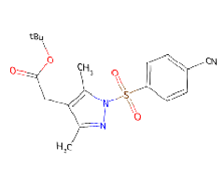 Cc1nn(S(=O)(=O)c2ccc(C#N)cc2)c(C)c1CC(=O)OC(C)(C)C